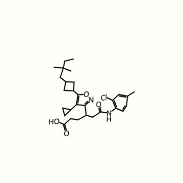 CCC(C)(C)CC1CC(c2onc(C(CCC(=O)O)CC(=O)Nc3ccc(C)cc3Cl)c2C2CC2)C1